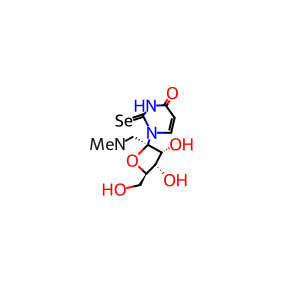 CNC[C@@]1(n2ccc(=O)[nH]c2=[Se])O[C@H](CO)[C@@H](O)[C@H]1O